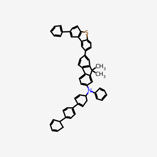 CC1(C)c2cc(-c3ccc4sc5ccc(-c6ccccc6)cc5c4c3)ccc2-c2ccc(N(c3ccccc3)C3C=CC(c4ccc(C5C=CC=CC5)cc4)=CC3)cc21